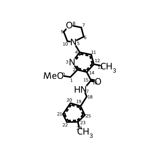 COCc1nc(N2CCOCC2)cc(C)c1C(=O)NCc1cccc(C)c1